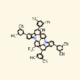 N#Cc1cc(C#N)cc(-c2ccc3c(c2)c2cc(-c4cc(C#N)cc(C#N)c4)ccc2n3-c2ccc(C#N)cc2-c2ccc(C(F)(F)F)cc2-n2c3ccc(-c4cc(C#N)cc(C#N)c4)cc3c3cc(-c4cc(C#N)cc(C#N)c4)ccc32)c1